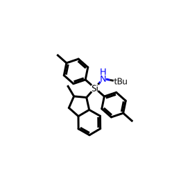 Cc1ccc([Si](NC(C)(C)C)(c2ccc(C)cc2)C2C(C)CC3C=CC=CC32)cc1